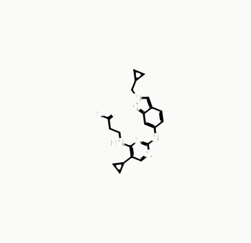 NC(=O)CCNc1nc(Nc2ccc3cn(CC4CC4)nc3c2)ncc1C1CC1